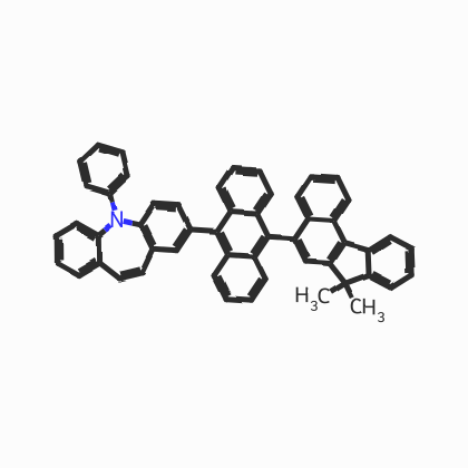 CC1(C)c2ccccc2-c2c1cc(-c1c3ccccc3c(-c3ccc4c(c3)C=Cc3ccccc3N4c3ccccc3)c3ccccc13)c1ccccc21